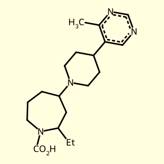 CCC1CC(N2CCC(c3cncnc3C)CC2)CCCN1C(=O)O